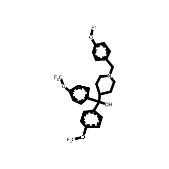 CCOc1ccc(CN2CCC(C(O)(c3ccc(OC(F)(F)F)cc3)c3ccc(OC(F)(F)F)cc3)CC2)cc1